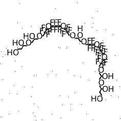 OCCC(O)COCC(O)COCC(F)(F)C(F)(F)OC(F)(F)C(F)(F)C(F)(F)OC(F)(F)C(F)(F)COCC(O)COCC(F)(F)C(F)(F)OC(F)(F)C(F)(F)C(F)(F)OC(F)(F)C(F)(F)COCC(O)COCC(O)CCO